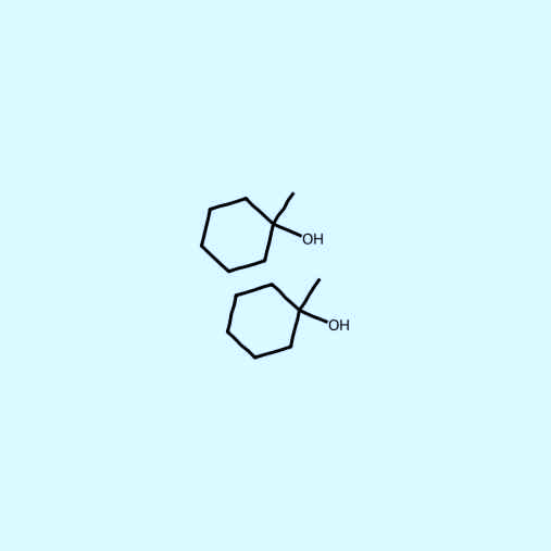 CC1(O)CCCCC1.CC1(O)CCCCC1